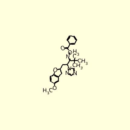 COc1ccc2c(c1)CC(CC(C(=NOC(=O)c1ccccc1)C(C)(C)C)n1cncn1)O2